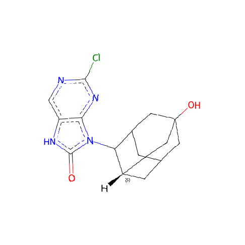 O=c1[nH]c2cnc(Cl)nc2n1C1C2CC3C[C@H]1CC(O)(C3)C2